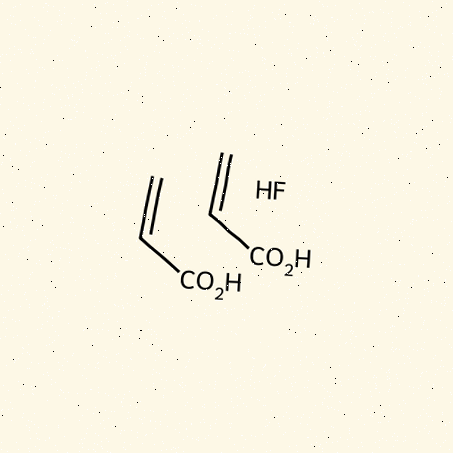 C=CC(=O)O.C=CC(=O)O.F